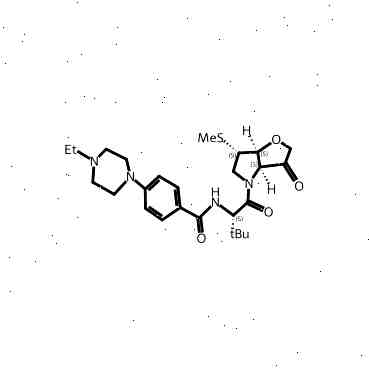 CCN1CCN(c2ccc(C(=O)N[C@H](C(=O)N3C[C@H](SC)[C@H]4OCC(=O)[C@H]43)C(C)(C)C)cc2)CC1